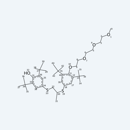 COCCOCCOCCOc1c(C(C)(C)C)cc(SC(C)CSc2cc(C(C)(C)C)c(O)c(C(C)(C)C)c2)cc1C(C)(C)C